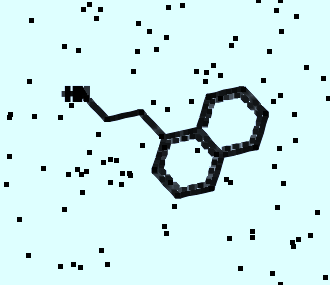 [NH]CCc1cccc2ccccc12